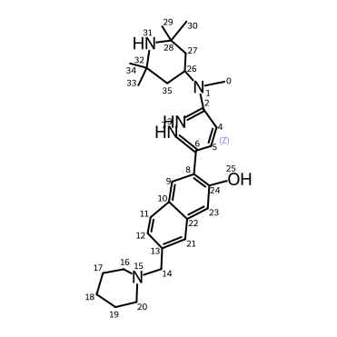 CN(C(=N)/C=C\C(=N)c1cc2ccc(CN3CCCCC3)cc2cc1O)C1CC(C)(C)NC(C)(C)C1